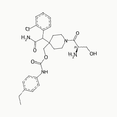 CCc1ccc(NC(=O)OCC2(C(C(N)=O)c3ccccc3Cl)CCN(C(=O)[C@H](N)CO)CC2)cc1